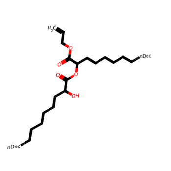 C=CCOC(=O)C(CCCCCCCCCCCCCCCC)OC(=O)C(O)CCCCCCCCCCCCCCCC